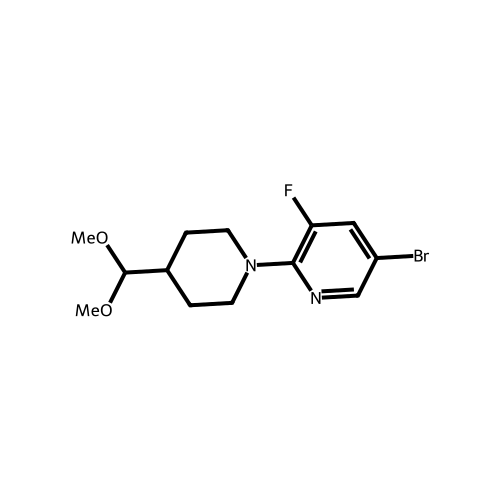 COC(OC)C1CCN(c2ncc(Br)cc2F)CC1